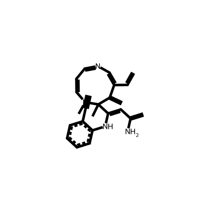 C#Cc1ccccc1N/C(=C\C(=C)N)C1(C)C(=C)\C(C=C)=C/N=C\C=C/N1C